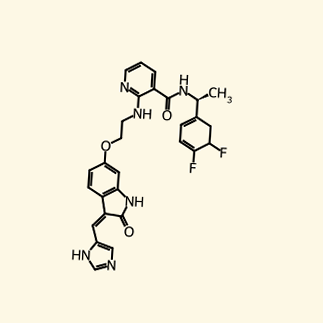 C[C@H](NC(=O)c1cccnc1NCCOc1ccc2c(c1)NC(=O)/C2=C\c1cnc[nH]1)C1=CC=C(F)C(F)C1